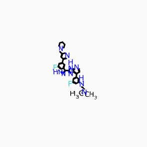 CN(C)CCNc1cc(F)cc(-c2ccnc3[nH]c(-c4n[nH]c5c(F)cc(-c6cncc(CN7CCCCC7)c6)cc45)nc23)c1